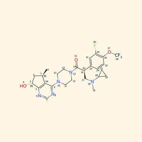 C[C@@H]1C[C@@H](O)c2ncnc(N3CCN(C(=O)[C@H](CN(C)C4CC4)c4ccc(OC(F)(F)F)c(F)c4)CC3)c21